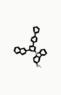 Bc1ccc2c(c1)c1ccccc1n2-c1cc(-c2ccc(-c3ccccc3)cc2)cc(-c2ccc3ccccc3c2)c1